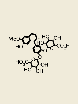 COc1cc(C[C@H](C)[C@H](C)Cc2ccc(O[C@@H]3O[C@H](C(=O)O)[C@@H](O)[C@H](O)[C@H]3O)c(O[C@@H]3O[C@H](C(=O)O)[C@@H](O)[C@H](O)[C@H]3O)c2)ccc1O